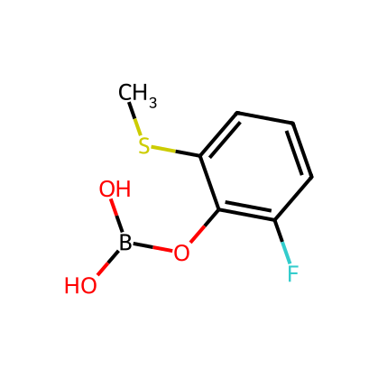 CSc1cccc(F)c1OB(O)O